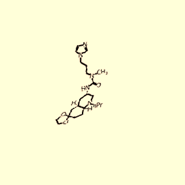 CCCN1C[C@@H](NC(=O)N(C)CCCn2ccnc2)C[C@@H]2CC3(CC[C@H]21)OCCO3